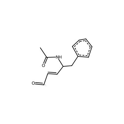 CC(=O)NC(C=C[C]=O)Cc1ccccc1